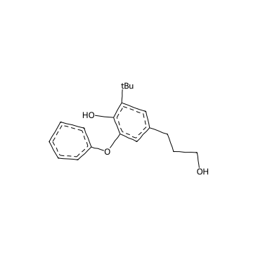 CC(C)(C)c1cc(CCCO)cc(Oc2ccccc2)c1O